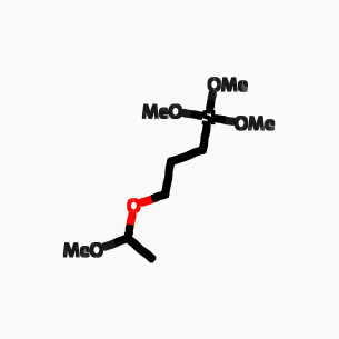 COC(C)OCCC[Si](OC)(OC)OC